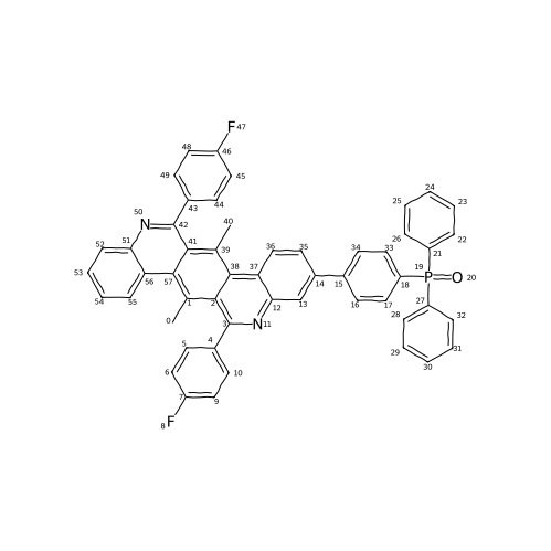 Cc1c2c(-c3ccc(F)cc3)nc3cc(-c4ccc(P(=O)(c5ccccc5)c5ccccc5)cc4)ccc3c2c(C)c2c(-c3ccc(F)cc3)nc3ccccc3c12